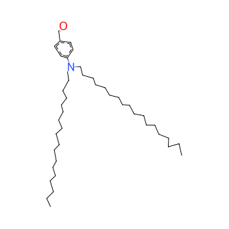 CCCCCCCCCCCCCCCCCCN(CCCCCCCCCCCCCCCCCC)c1ccc(C=O)cc1